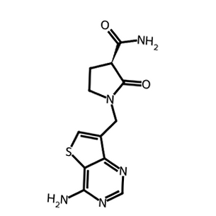 NC(=O)[C@@H]1CCN(Cc2csc3c(N)ncnc23)C1=O